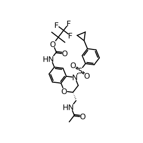 CC(=O)NC[C@H]1CN(S(=O)(=O)c2cccc(C3CC3)c2)c2cc(NC(=O)OC(C)(C)C(F)(F)F)ccc2O1